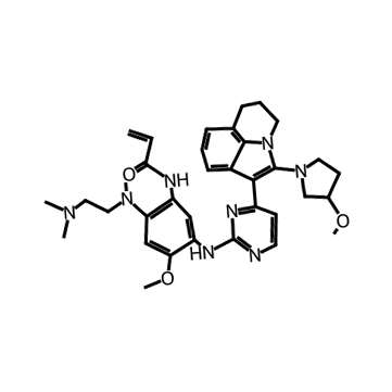 C=CC(=O)Nc1cc(Nc2nccc(-c3c(N4CCC(OC)C4)n4c5c(cccc35)CCC4)n2)c(OC)cc1N(C)CCN(C)C